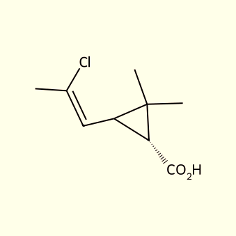 CC(Cl)=CC1[C@@H](C(=O)O)C1(C)C